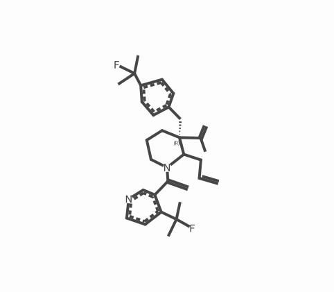 C=CCC1N(C(=C)c2cnccc2C(C)(C)F)CCC[C@@]1(Cc1ccc(C(C)(C)F)cc1)C(=C)C